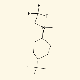 CN(CC(F)(F)F)[C@H]1CC[C@H](C(C)(C)C)CC1